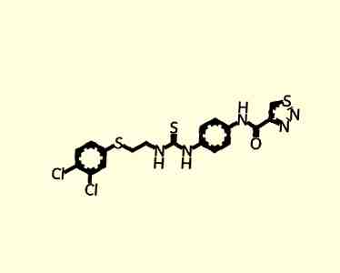 O=C(Nc1ccc(NC(=S)NCCSc2ccc(Cl)c(Cl)c2)cc1)c1csnn1